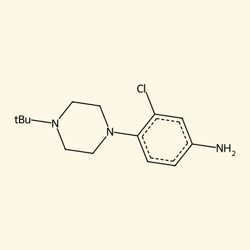 CC(C)(C)N1CCN(c2ccc(N)cc2Cl)CC1